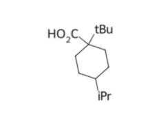 CC(C)C1CCC(C(=O)O)(C(C)(C)C)CC1